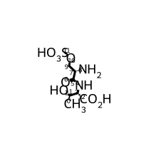 C[C@@H](O)[C@H](NC(=O)[C@@H](N)COS(=O)(=O)O)C(=O)O